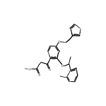 Cc1ccccc1C(C)Oc1cc(OCc2ccsc2)ccc1C(=O)CC(=O)C(=O)O